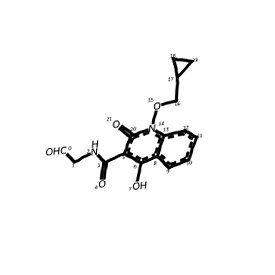 O=CCNC(=O)c1c(O)c2ccccc2n(OCC2CC2)c1=O